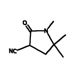 CN1C(=O)C(C#N)CC1(C)C